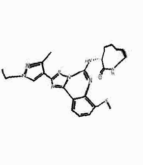 CCn1cc(-c2nc3c4cccc(SC)c4nc(N[C@@H]4CCCCNC4=O)n3n2)c(C)n1